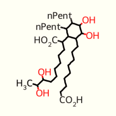 CCCCCC1C(O)C(O)C(CCCCCCCCC(=O)O)C(C(CCCCCCC(O)C(C)O)C(=O)O)C1CCCCC